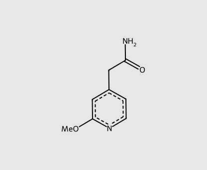 COc1cc(CC(N)=O)ccn1